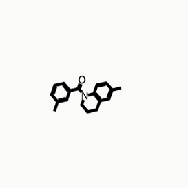 Cc1cccc(C(=O)N2CCCc3cc(C)ccc32)c1